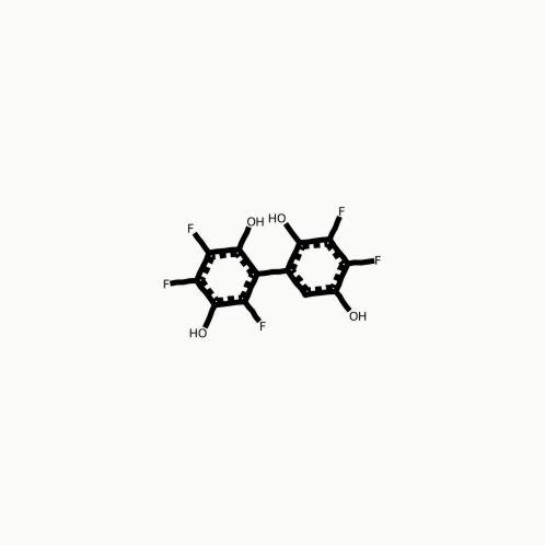 Oc1cc(-c2c(O)c(F)c(F)c(O)c2F)c(O)c(F)c1F